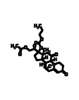 CCCOC(=O)O[C@]1(C(=O)COC(C)=O)CC[C@H]2[C@@H]3CCC4=CC(=O)CC[C@]4(C)[C@H]3C(=O)C[C@@]21C